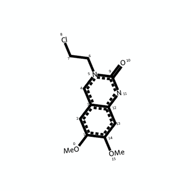 COc1cc2cn(CCCl)c(=O)nc2cc1OC